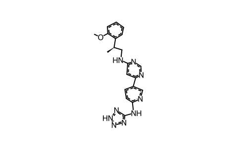 COc1ccccc1[C@H](C)CNc1cc(-c2ccc(Nc3nn[nH]n3)nc2)ncn1